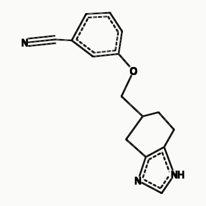 N#Cc1cccc(OCC2CCc3[nH]cnc3C2)c1